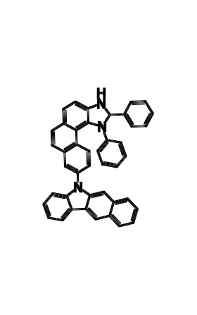 c1ccc(C2Nc3ccc4ccc5cc(-n6c7ccccc7c7cc8ccccc8cc76)ccc5c4c3N2c2ccccc2)cc1